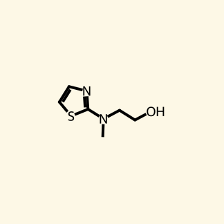 CN(CCO)c1nccs1